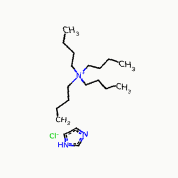 CCCC[N+](CCCC)(CCCC)CCCC.[Cl-].c1c[nH]cn1